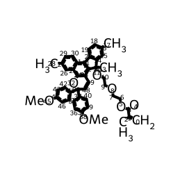 C=C(C)C(=O)OCCOCCOC1(C)c2cc(C)ccc2-c2c1c1c(c3cc(C)ccc23)OC(c2ccc(OC)cc2)(c2ccc(OC)cc2)C=C1